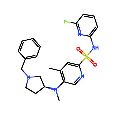 Cc1cc(S(=O)(=O)Nc2cccc(F)n2)ncc1N(C)[C@H]1CCN(Cc2ccccc2)C1